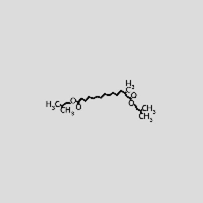 CC(C)CCOC(=O)CCCCCCCCCCCC(C)CC(=O)OCCC(C)C